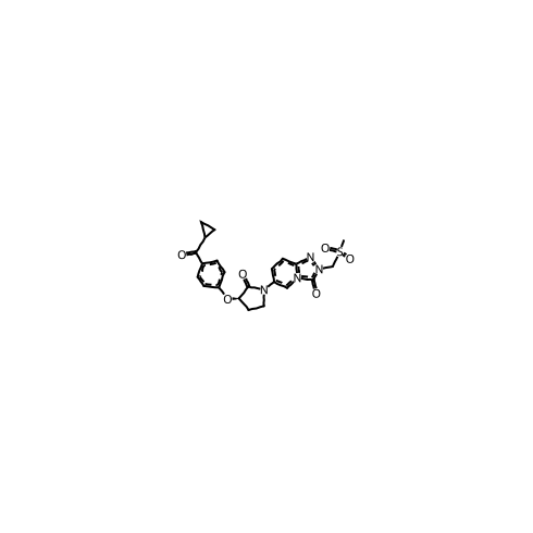 CS(=O)(=O)Cn1nc2ccc(N3CC[C@@H](Oc4ccc(C(=O)C5CC5)cc4)C3=O)cn2c1=O